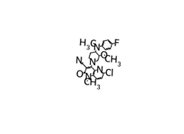 CO[C@H]1CN(c2c(C#N)c(=O)n(C)c3ccc(Cl)nc23)CC[C@H]1N(C)c1ccc(F)cc1